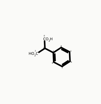 O=C(O)C(C(=O)O)c1[c]cccc1